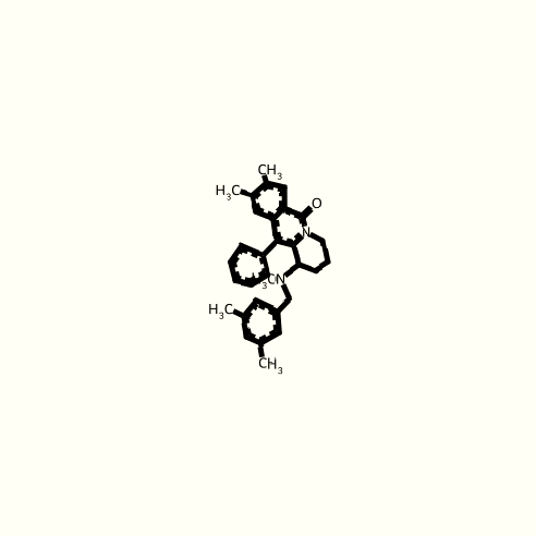 Cc1cc(C)cc(CN(C)C2CCCn3c2c(-c2ccccc2)c2cc(C)c(C)cc2c3=O)c1